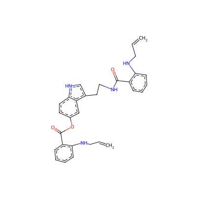 C=CCNc1ccccc1C(=O)NCCc1c[nH]c2ccc(OC(=O)c3ccccc3NCC=C)cc12